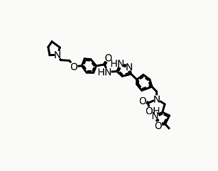 Cc1cc(CN(Cc2ccc(-c3cc(NC(=O)c4ccc(OCCN5CCCC5)cc4)[nH]n3)cc2)C(=O)O)no1